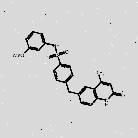 COc1cccc(NS(=O)(=O)c2ccc(Cc3ccc4[nH]c(=O)cc(C(F)(F)F)c4c3)cc2)c1